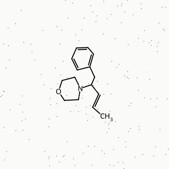 CC=CC(Cc1ccccc1)N1CCOCC1